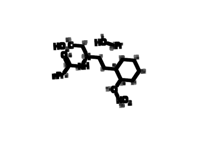 CC(C)O.CCCC(=O)NN(CCC1CCCCC1O[N+](=O)[O-])CC(=O)O